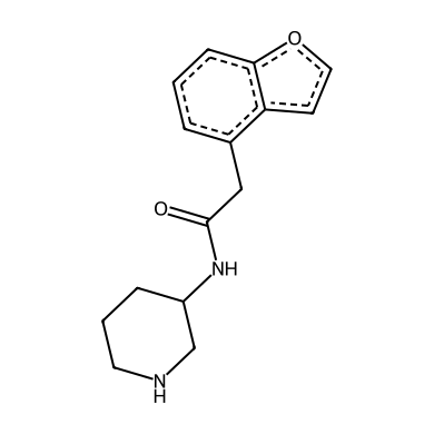 O=C(Cc1cccc2occc12)NC1CCCNC1